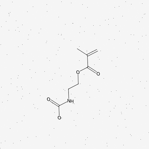 C=C(C)C(=O)OCCNC([O])=O